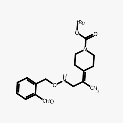 CC(CNOCc1ccccc1C=O)=C1CCN(C(=O)OC(C)(C)C)CC1